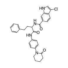 O=C(NC(CCc1ccccc1)C(=O)Nc1ccc(N2CCCCC2=O)cc1)c1ccc2c(Cl)c[nH]c2c1